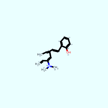 C=C\C(=C/C(=C\C)/C=C/c1ccccc1O)N(C)C